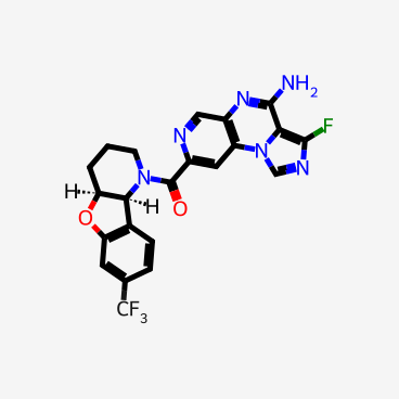 Nc1nc2cnc(C(=O)N3CCC[C@@H]4Oc5cc(C(F)(F)F)ccc5[C@@H]43)cc2n2cnc(F)c12